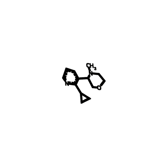 CN1CCOCC1c1cccnc1C1CC1